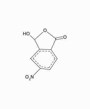 O=C1OC(O)c2cc([N+](=O)[O-])ccc21